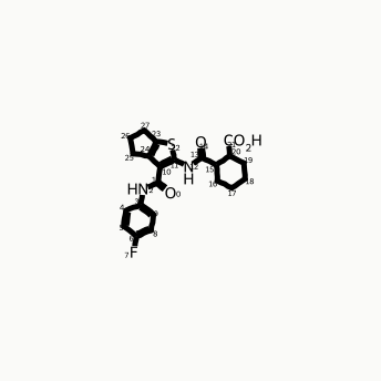 O=C(Nc1ccc(F)cc1)c1c(NC(=O)C2CCCCC2C(=O)O)sc2c1CCC2